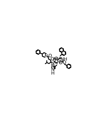 CC(C)CC(NC(=O)[C@@H](Cc1c[nH]cn1)NC(=O)[C@H](Cc1cccc2ccccc12)NC(=O)OCc1ccccc1)C(O)CC(=O)N1CCC(c2ccccc2)CC1